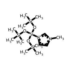 Cn1cc[n+]([Si](O[Si](C)(C)C)(O[Si](C)(C)C)O[Si](C)(C)C)c1